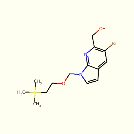 CS(C)(C)CCOCn1ccc2cc(Br)c(CO)nc21